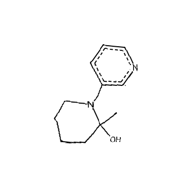 CC1(O)CCCCN1c1[c]nccc1